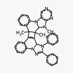 CN1c2ncncc2N2c3ccccc3C3(C)C4=C(C5N(N=C(c6ccccc6)N5c5ccccc5)c5ccccc54)C3(C)C12